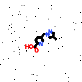 Cc1cnn(Cc2ccc(C(=O)O)nc2)c1